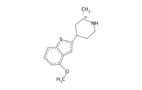 COc1cccc2sc(C3CCN[C@@H](C)C3)cc12